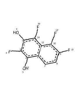 Oc1c(F)c(O)c2ccc(F)c(F)c2c1F